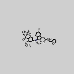 CCOC(=O)c1c(OC)cc(/C=C2/C(C)=C(CC(=O)NCc3ccco3)c3cc(F)ccc32)cc1OC